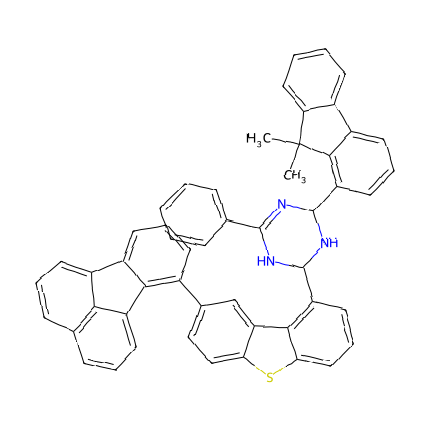 CC1(C)c2ccccc2-c2cccc(C3N=C(c4ccccc4)NC(c4cccc5sc6ccc(-c7cccc8c7-c7cccc9cccc-8c79)cc6c45)N3)c21